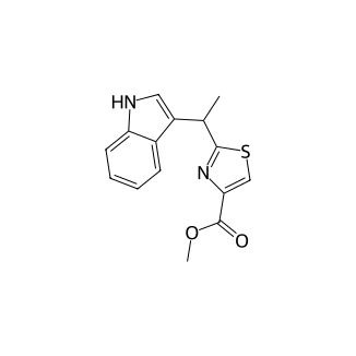 COC(=O)c1csc(C(C)c2c[nH]c3ccccc23)n1